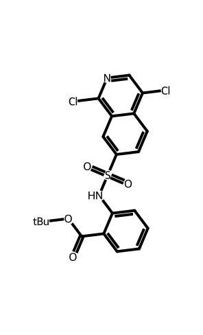 CC(C)(C)OC(=O)c1ccccc1NS(=O)(=O)c1ccc2c(Cl)cnc(Cl)c2c1